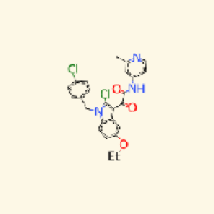 CCOc1ccc2c(c1)c(C(=O)C(=O)Nc1ccnc(C)c1)c(Cl)n2Cc1ccc(Cl)cc1